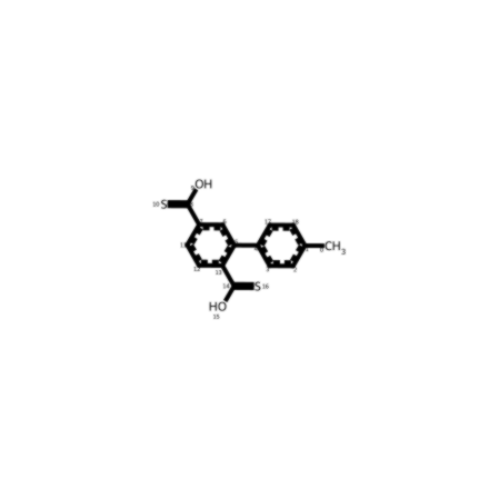 Cc1ccc(-c2cc(C(O)=S)ccc2C(O)=S)cc1